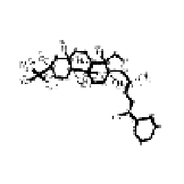 C[C@H](CCC(O)C1CCCCC1)[C@H]1CC[C@H]2[C@@H]3CC[C@H]4C[C@](O)(C(C)(C)O)CC[C@]4(C)[C@H]3CC[C@]12C